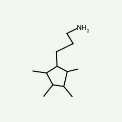 CC1C(C)C(C)C(CCCN)C1C